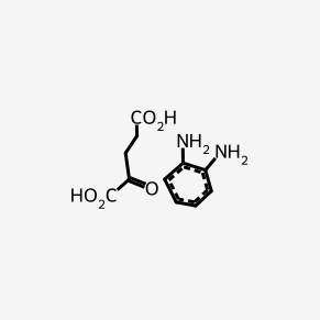 Nc1ccccc1N.O=C(O)CCC(=O)C(=O)O